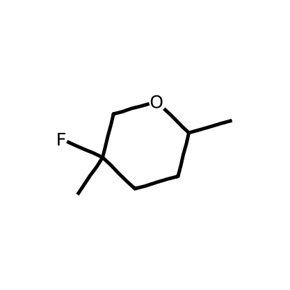 CC1CCC(C)(F)CO1